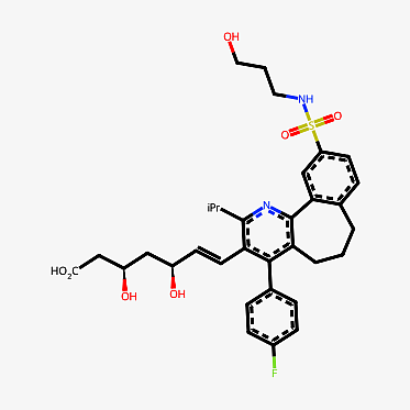 CC(C)c1nc2c(c(-c3ccc(F)cc3)c1/C=C/[C@@H](O)C[C@@H](O)CC(=O)O)CCCc1ccc(S(=O)(=O)NCCCO)cc1-2